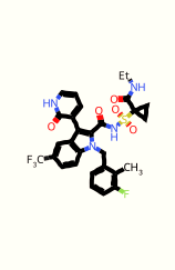 CCNC(=O)C1(S(=O)(=O)NC(=O)c2c(-c3ccc[nH]c3=O)c3cc(C(F)(F)F)ccc3n2Cc2cccc(F)c2C)CC1